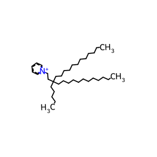 CCCCCCCCCCCCC(CCCCC)(CCCCCCCCCCCC)CC[n+]1ccccc1